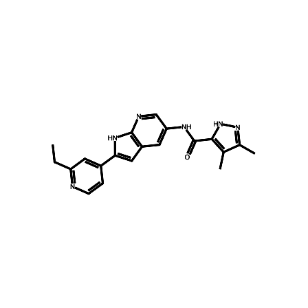 CCc1cc(-c2cc3cc(NC(=O)c4[nH]nc(C)c4C)cnc3[nH]2)ccn1